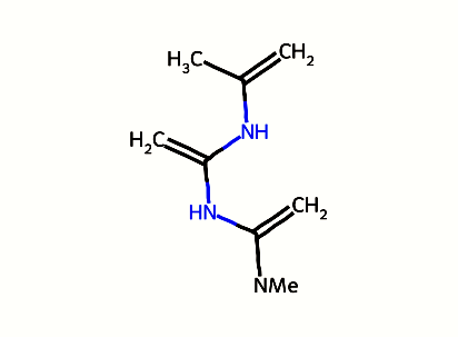 C=C(C)NC(=C)NC(=C)NC